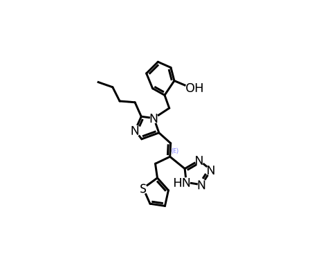 CCCCc1ncc(/C=C(\Cc2cccs2)c2nnn[nH]2)n1Cc1ccccc1O